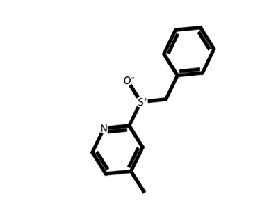 Cc1ccnc([S+]([O-])Cc2ccccc2)c1